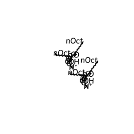 CCCCCCCC/C=C\CCCCCCCC(=O)OCC(COP(=O)(O)OCC[N+](C)(C)C)OC(=O)CCCCCCC/C=C\CCCCCCCC.CCCCCCCC/C=C\CCCCCCCC(=O)OC[C@H](COP(=O)(O)OCC[N+](C)(C)C)OC(=O)CCCCCCC/C=C\CCCCCCCC